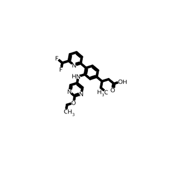 CCOc1ncc(Nc2cc(C(CC)CC(=O)O)ccc2-c2cccc(C(F)F)n2)cn1